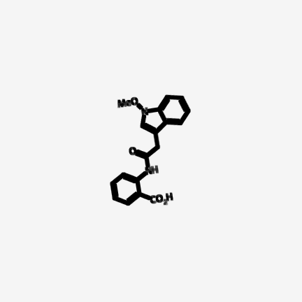 COn1cc(CC(=O)Nc2ccccc2C(=O)O)c2ccccc21